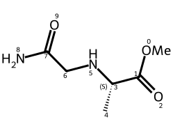 COC(=O)[C@H](C)NCC(N)=O